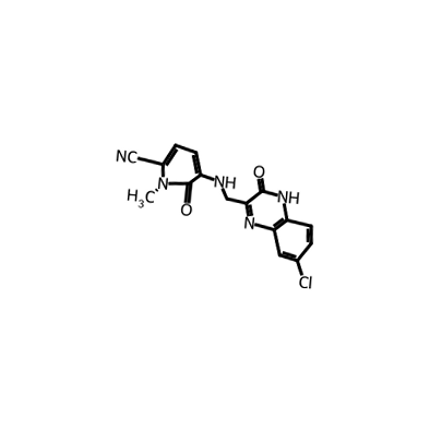 Cn1c(C#N)ccc(NCc2nc3cc(Cl)ccc3[nH]c2=O)c1=O